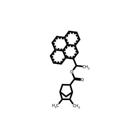 CC(OC(=O)C1CC2CC1C(C)C2C)c1cc2cccc3ccc4cccc1c4c32